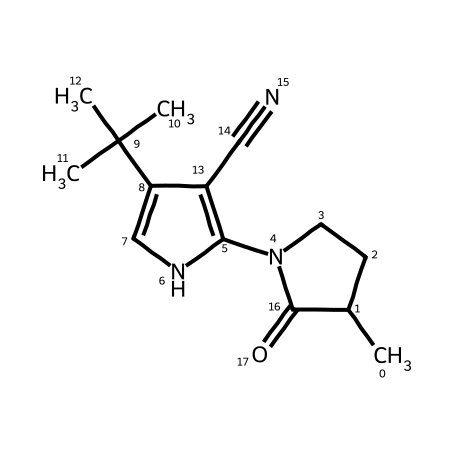 CC1CCN(c2[nH]cc(C(C)(C)C)c2C#N)C1=O